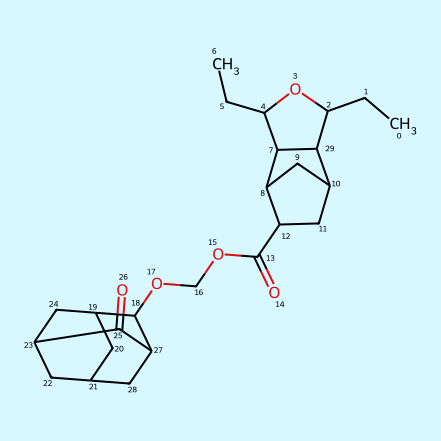 CCC1OC(CC)C2C3CC(CC3C(=O)OCOC3C4CC5CC(C4)C(=O)C3C5)C12